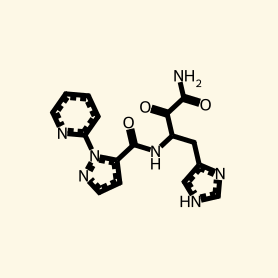 NC(=O)C(=O)C(Cc1c[nH]cn1)NC(=O)c1ccnn1-c1ccccn1